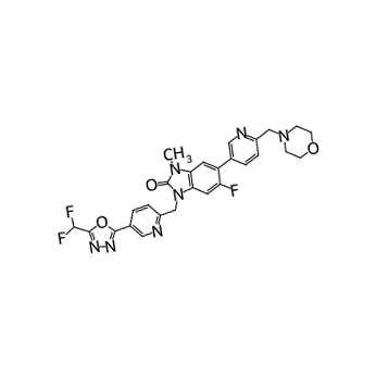 Cn1c(=O)n(Cc2ccc(-c3nnc(C(F)F)o3)cn2)c2cc(F)c(-c3ccc(CN4CCOCC4)nc3)cc21